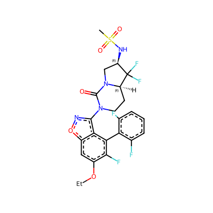 CCOc1cc2onc(N3CC[C@H]4N(C[C@@H](NS(C)(=O)=O)C4(F)F)C3=O)c2c(-c2c(F)cccc2F)c1F